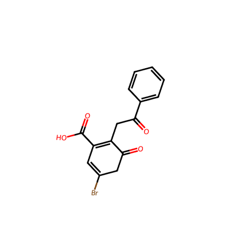 O=C(O)C1=C(CC(=O)c2ccccc2)C(=O)CC(Br)=C1